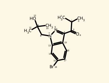 CC(C)C(=O)c1nn(CC(C)(C)O)c2cc(Br)ccc12